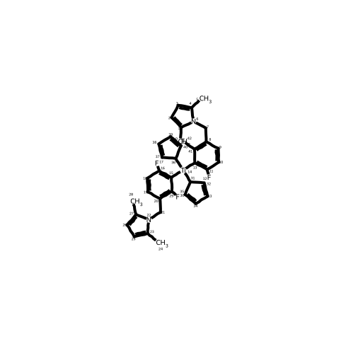 Cc1ccc(C)n1Cc1ccc(F)[c]([Ti]([c]2c(F)ccc(Cn3c(C)ccc3C)c2F)([CH]2C=CC=C2)[CH]2C=CC=C2)c1F